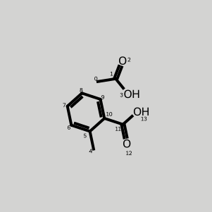 CC(=O)O.Cc1ccccc1C(=O)O